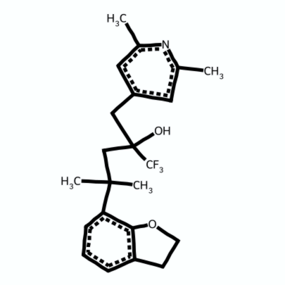 Cc1cc(CC(O)(CC(C)(C)c2cccc3c2OCC3)C(F)(F)F)cc(C)n1